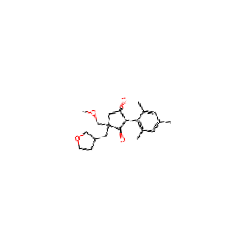 COCC1(CC2CCOC2)CC(=O)C(c2c(C)cc(C)cc2C)C1=O